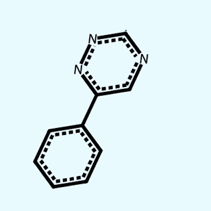 [c]1ncc(-c2ccccc2)nn1